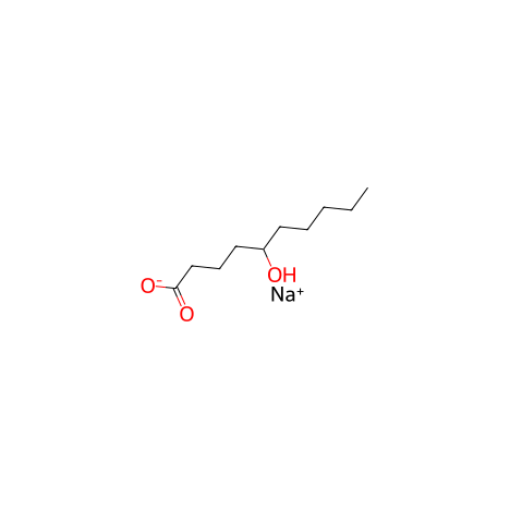 CCCCCC(O)CCCC(=O)[O-].[Na+]